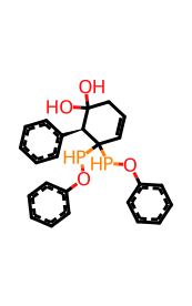 OC1(O)CC=CC(POc2ccccc2)(POc2ccccc2)[C@H]1c1ccccc1